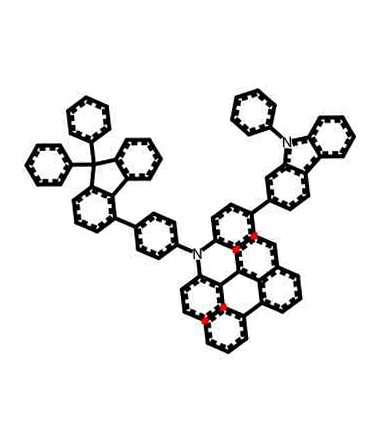 c1ccc(-c2cccc3cccc(-c4ccccc4N(c4ccc(-c5ccc6c7ccccc7n(-c7ccccc7)c6c5)cc4)c4ccc(-c5cccc6c5-c5ccccc5C6(c5ccccc5)c5ccccc5)cc4)c23)cc1